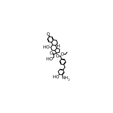 CCO[C@H](O[C@]1(C(=O)CO)CCC2[C@@H]3CCC4=CC(=O)C=C[C@]4(C)C3[C@@H](O)C[C@@]21C)c1ccc(CC2=CCC(O)C(N)=C2)cc1